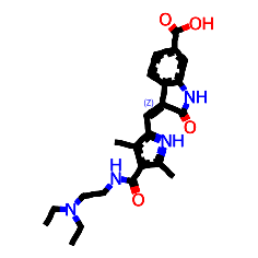 CCN(CC)CCNC(=O)c1c(C)[nH]c(/C=C2\C(=O)Nc3cc(C(=O)O)ccc32)c1C